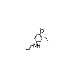 CC=CNc1ccc(OC)c(CC)c1